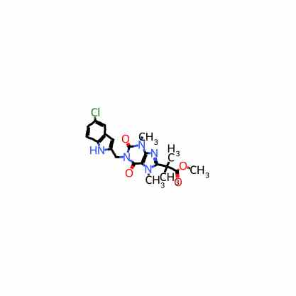 COC(=O)C(C)(C)c1nc2c(c(=O)n(Cc3cc4cc(Cl)ccc4[nH]3)c(=O)n2C)n1C